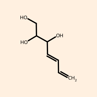 C=CC=CC(O)C(O)CO